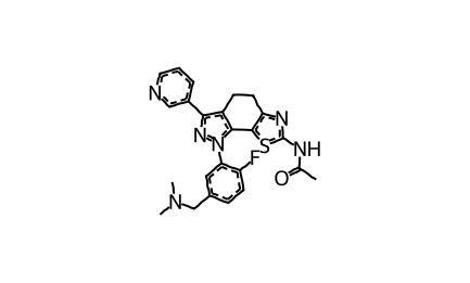 CC(=O)Nc1nc2c(s1)-c1c(c(-c3cccnc3)nn1-c1cc(CN(C)C)ccc1F)CC2